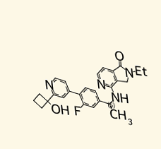 CCN1Cc2c(ccnc2N[C@@H](C)c2ccc(-c3ccnc(C4(O)CCC4)c3)c(F)c2)C1=O